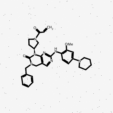 C=CC(=O)N1CC[C@H](N2C(=O)N(Cc3ccccc3)Cc3cnc(Nc4ccc(N5CCCCC5)cc4OC)nc32)C1